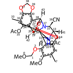 COCOc1c(OC)c(C)cc2c1[C@@H]1N[C@@H](C2)[C@H](C#N)N2C1[C@@H]1SC[C@@H](OC(C)=O)C(=O)OC[C@H]2c2c3c(c(C)c(OC(C)=O)c21)OCO3